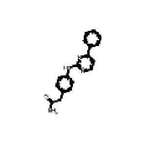 NC(=O)Cc1ccc(Nc2nccc(-c3ccccc3)n2)cc1